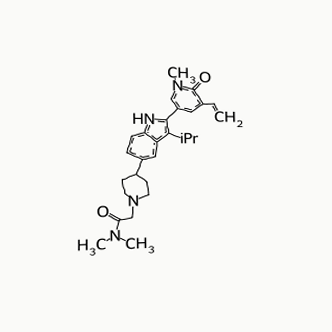 C=Cc1cc(-c2[nH]c3ccc(C4CCN(CC(=O)N(C)C)CC4)cc3c2C(C)C)cn(C)c1=O